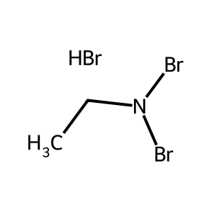 Br.CCN(Br)Br